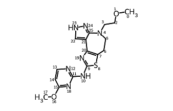 COCCN1CCc2sc(Nc3nccc(OC)n3)nc2-c2c[nH]nc21